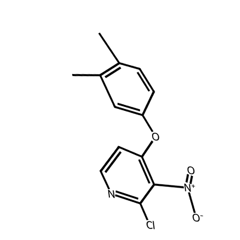 Cc1ccc(Oc2ccnc(Cl)c2[N+](=O)[O-])cc1C